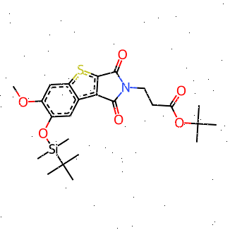 COc1cc2sc3c(c2cc1O[Si](C)(C)C(C)(C)C)C(=O)N(CCC(=O)OC(C)(C)C)C3=O